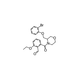 CCOc1cccc(C(=O)N2CCOCC2COc2ccccc2Br)c1C=O